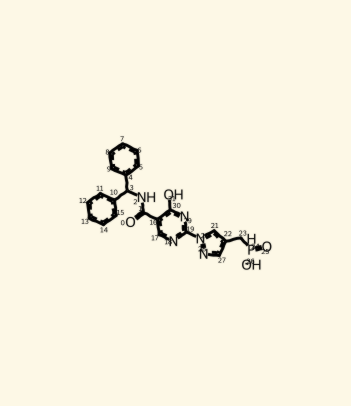 O=C(NC(c1ccccc1)c1ccccc1)c1cnc(-n2cc(C[PH](=O)O)cn2)nc1O